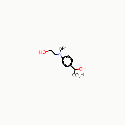 CCCN(CCO)c1ccc(C(O)C(=O)O)cc1